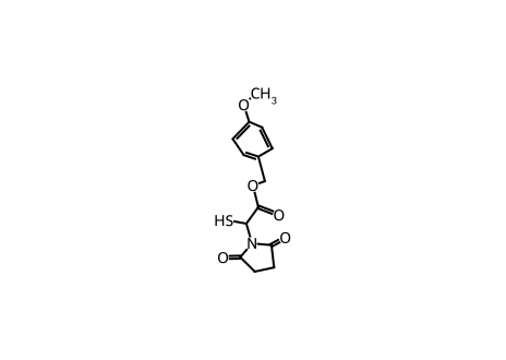 COc1ccc(COC(=O)C(S)N2C(=O)CCC2=O)cc1